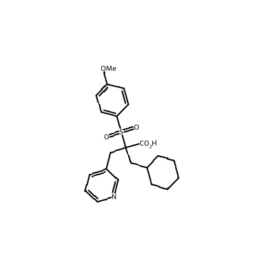 COc1ccc(S(=O)(=O)C(Cc2cccnc2)(CC2CCCCC2)C(=O)O)cc1